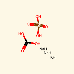 O=C(O)O.O=S(=O)(O)O.[KH].[NaH].[NaH]